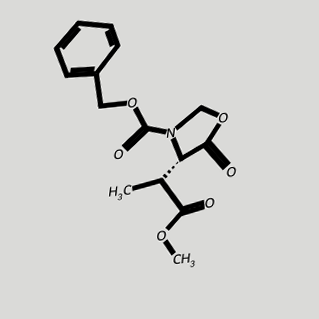 COC(=O)C(C)[C@H]1C(=O)OCN1C(=O)OCc1ccccc1